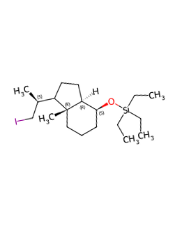 CC[Si](CC)(CC)O[C@H]1CCC[C@]2(C)C([C@H](C)CI)CC[C@@H]12